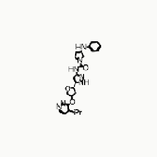 CC(C)c1ccnnc1O[C@H]1CO[C@@H](c2cc(NC(=O)N3CC[C@H](Nc4ccccc4)C3)n[nH]2)C1